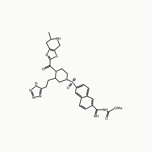 COC(=O)NC(=N)c1ccc2cc(S(=O)(=O)N3CCN(C(=O)c4nc5c(s4)CNC(C)C5)C(CCc4nnn[nH]4)C3)ccc2c1